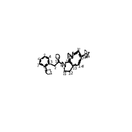 O=C(Cc1ccccc1Cl)N1CCc2cc(Br)cnc21